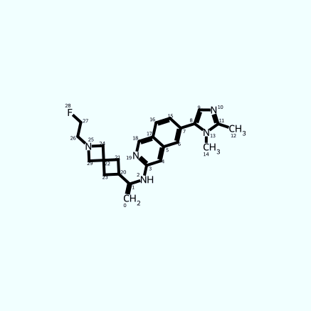 C=C(Nc1cc2cc(-c3cnc(C)n3C)ccc2cn1)C1CC2(C1)CN(CCF)C2